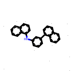 c1cc(Nc2cccc3ccccc23)cc(-c2cccc3ccccc23)c1